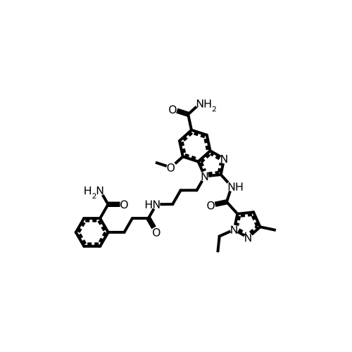 CCn1nc(C)cc1C(=O)Nc1nc2cc(C(N)=O)cc(OC)c2n1CCCNC(=O)CCc1ccccc1C(N)=O